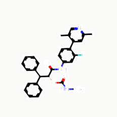 Cc1cc(-c2ccc(NC(=O)[C@@H](OC(=O)NC(C)(C)C)C(c3ccccc3)c3ccccc3)cc2F)c(C)cn1